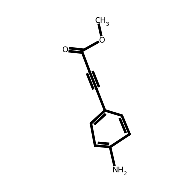 COC(=O)C#Cc1ccc(N)cc1